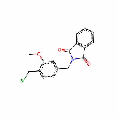 COc1cc(CN2C(=O)c3ccccc3C2=O)ccc1CBr